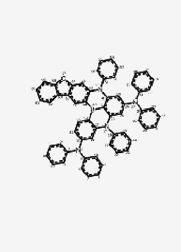 c1ccc(N(c2ccccc2)c2ccc3c(c2)N(c2ccccc2)c2cc(N(c4ccccc4)c4ccccc4)cc4c2B3c2cc3c(cc2N4c2ccccc2)oc2ccccc23)cc1